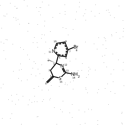 C=C1C[C@@](C)(c2cc(Br)ccn2)N=C(N)S1